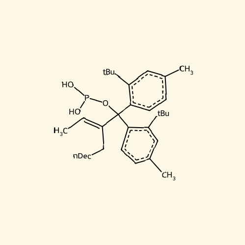 CC=C(CCCCCCCCCCC)C(OP(O)O)(c1ccc(C)cc1C(C)(C)C)c1ccc(C)cc1C(C)(C)C